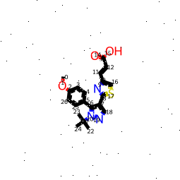 COc1ccc(-c2c(-c3nc(/C=C/C(=O)O)cs3)cnn2C(C)(C)C)cc1